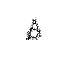 CCC[C@H]1[C@@H](C)C/C=C\[C@]2(CO)CC[C@H]2CN2CCCCc3cc(Cl)ccc3COc3ccc(cc32)C(=O)NS1(=O)=O